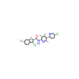 Cc1nc(NC(=O)c2sc3cc(F)ccc3c2Cl)c(C)c(C)c1-c1ccc(F)cn1